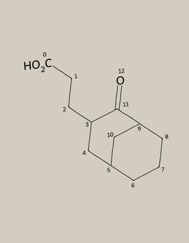 O=C(O)CCC1CC2CCCC(C2)C1=O